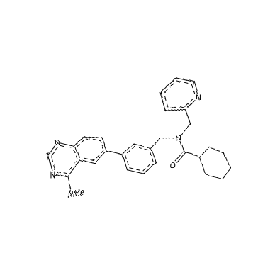 CNc1ncnc2ccc(-c3cccc(CN(Cc4ccccn4)C(=O)C4CCCCC4)c3)cc12